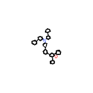 C1=CC(c2cccc(-c3cc(-c4ccccc4)c4oc5ccccc5c4c3)c2)CC=C1N(c1cccc(-c2ccccc2)c1)c1cccc(-c2ccccc2)c1